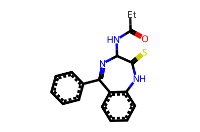 CCC(=O)NC1N=C(c2ccccc2)c2ccccc2NC1=S